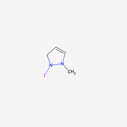 CN1C=CCN1I